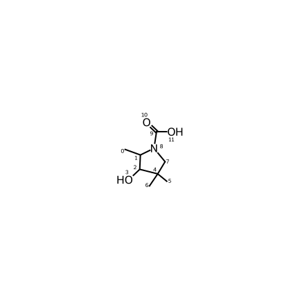 CC1C(O)C(C)(C)CN1C(=O)O